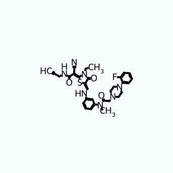 C#CCNC(=O)C(C#N)=c1sc(=CNc2cccc(N(C)C(=O)CN3CCN(c4ccccc4F)CC3)c2)c(=O)n1CC